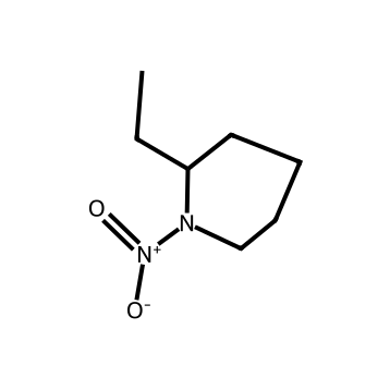 CCC1CCCCN1[N+](=O)[O-]